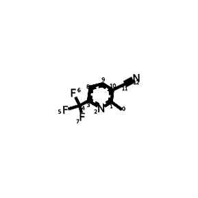 Cc1nc(C(F)(F)F)ccc1C#N